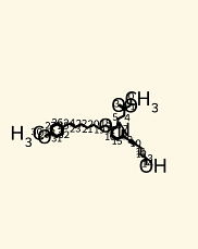 COC(=O)CCc1nc(C#CCCCO)ccc1OCCCCC=Cc1ccc(OC)cc1